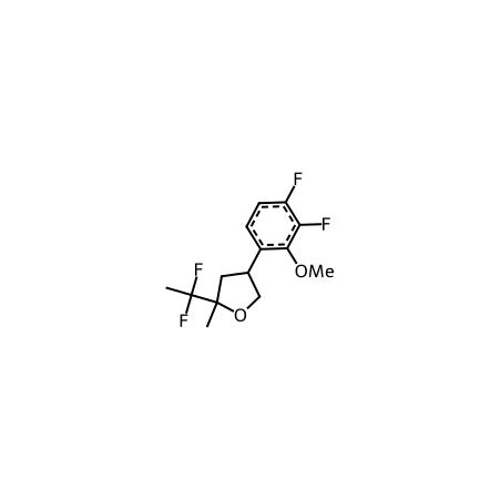 COc1c(C2COC(C)(C(C)(F)F)C2)ccc(F)c1F